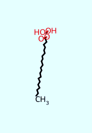 CCCCCCCCCCCCCCCCCCCCCC(=O)OC(O)O